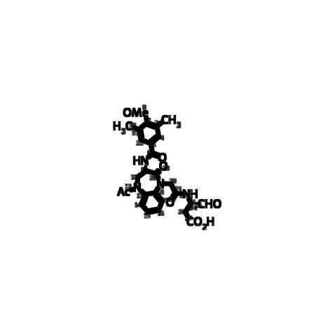 COc1c(C)cc(C(=O)N[C@H]2CN(C(C)=O)c3ccccc3N(CC(=O)N[C@H](C=O)CC(=O)O)C2=O)cc1C